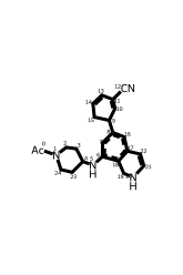 CC(=O)N1CCC(Nc2cc(C3C=C(C#N)C=CC3)cc3c2CNC=C3)CC1